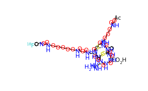 CC(=O)COCC(=O)NCCOCCOCCOCCNC(=O)[C@@H]1CSCC(=O)N[C@@H](CCCCNC(=O)COCC(=O)NCCOCCOCCOCCOCCOCCNC(=O)CO/N=C/c2ccc([18F])cc2)C(=O)N[C@H]2CSSC[C@H](NC(=O)[C@H](CC(=O)O)NC(=O)CNC(=O)[C@H](CCCNC(=N)N)NC2=O)C(=O)N[C@@H](Cc2ccccc2)C(=O)N1